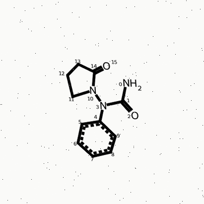 NC(=O)N(c1ccccc1)N1CCCC1=O